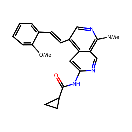 CNc1ncc(C=Cc2ccccc2OC)c2cc(NC(=O)C3CC3)ncc12